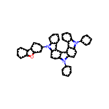 c1ccc(-n2c3ccccc3c3c4c5c6c7ccccc7n(-c7ccc8c(c7)oc7ccccc78)c6ccc5n(-c5ccccc5)c4ccc32)cc1